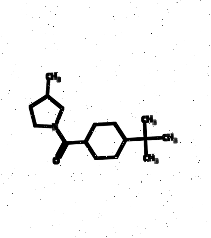 CC1CCN(C(=O)C2CCC(C(C)(C)C)CC2)C1